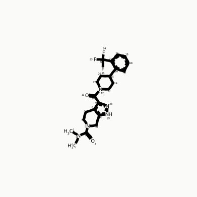 CN(C)C(=O)N1CCc2c(C(=O)N3CCC(c4ccccc4C(F)(F)F)CC3)n[nH]c2C1